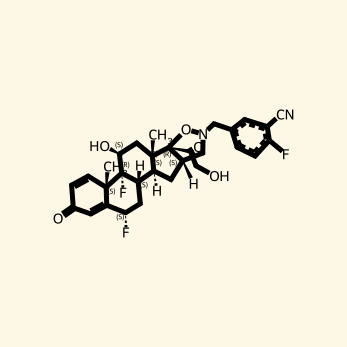 C[C@]12C=CC(=O)C=C1[C@@H](F)C[C@H]1[C@@H]3C[C@H]4CN(Cc5ccc(F)c(C#N)c5)O[C@@]4(C(=O)CO)[C@@]3(C)C[C@H](O)[C@@]12F